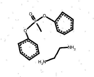 CP(=O)(Oc1ccccc1)Oc1ccccc1.NCCN